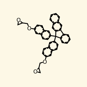 c1ccc2c(c1)-c1cc3ccccc3cc1C2(c1ccc2cc(OCC3CO3)ccc2c1)c1ccc2cc(OCC3CO3)ccc2c1